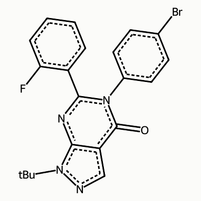 CC(C)(C)n1ncc2c(=O)n(-c3ccc(Br)cc3)c(-c3ccccc3F)nc21